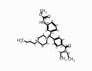 CCCCN1CCN(C(c2ccc(C(=O)N(CC)CC)cc2)c2cccc(NC(=O)OC)c2)CC1